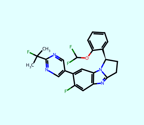 CC(C)(F)c1ncc(-c2cc3c(cc2F)nc2n3[C@@H](c3ccccc3OC(F)F)CC2)cn1